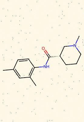 Cc1ccc(NC(=O)[C@H]2CCCN(C)C2)c(C)c1